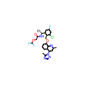 CC[C@H](NC(=O)COC(F)F)c1cc(F)cc(Cl)c1COc1cccc2c(-n3ncnc3C)cc(C)nc12